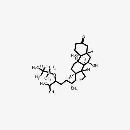 CC(C)C(CC[C@@H](C)[C@H]1CC[C@H]2[C@@H]3[C@H](O)C[C@H]4CC(=O)CC[C@]4(C)[C@H]3CC[C@]12C)O[Si](C)(C)C(C)(C)C